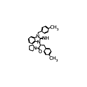 Cc1ccc(CC(C(=O)N2CCCC2)n2c(=N)n(Cc3ccc(C)cc3)c3ccccc32)cc1